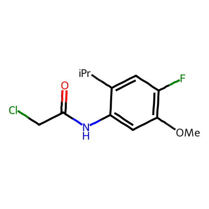 COc1cc(NC(=O)CCl)c(C(C)C)cc1F